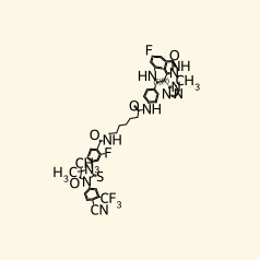 Cn1ncnc1[C@H]1c2n[nH]c(=O)c3cc(F)cc(c23)N[C@@H]1c1ccc(NC(=O)CCCCCCNC(=O)c2ccc(N3C(=S)N(c4ccc(C#N)c(C(F)(F)F)c4)C(=O)C3(C)C)cc2F)cc1